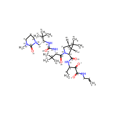 C=CCNC(=O)C(=O)C(CC)NC(=O)[C@@H]1[C@@H]2[C@H](CN1C(=O)[C@@H](NC(=O)N[C@H](CN1CCCN(C)C1=O)C(C)(C)C)C(C)(C)C)C2(C)C